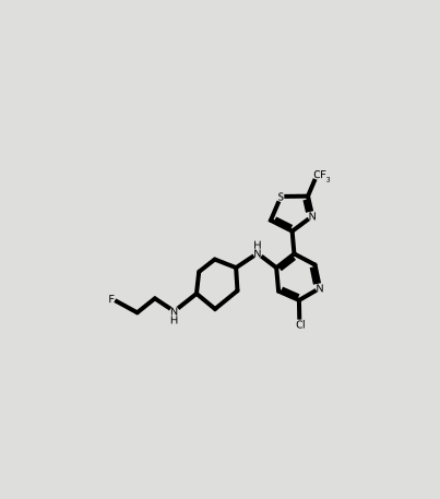 FCCNC1CCC(Nc2cc(Cl)ncc2-c2csc(C(F)(F)F)n2)CC1